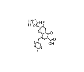 Cc1cnc(Cn2cc(C(=O)O)c(=O)c3cc(F)c(N4C[C@@H]5C[C@H]4CN5)nc32)cn1